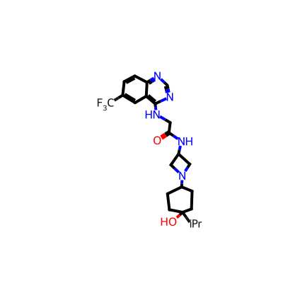 CC(C)C1(O)CCC(N2CC(NC(=O)CNc3ncnc4ccc(C(F)(F)F)cc34)C2)CC1